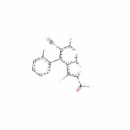 N#Cc1c(N)nc2sc(C(N)=O)c(N)c2c1-c1ccccc1Cl